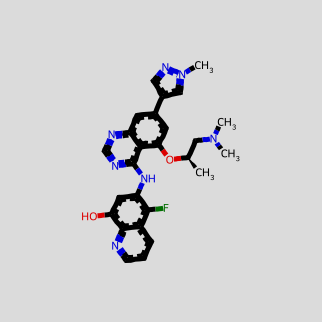 C[C@H](CN(C)C)Oc1cc(-c2cnn(C)c2)cc2ncnc(Nc3cc(O)c4ncccc4c3F)c12